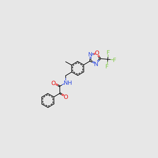 Cc1cc(-c2noc(C(F)(F)F)n2)ccc1CNC(=O)C(=O)c1ccccc1